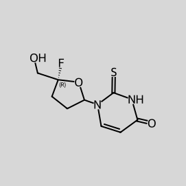 O=c1ccn(C2CC[C@@](F)(CO)O2)c(=S)[nH]1